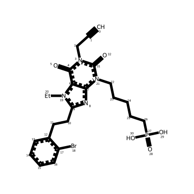 C#CCn1c(=O)c2c(nc(CCc3ccccc3Br)n2CC)n(CCCCCP(=O)(O)O)c1=O